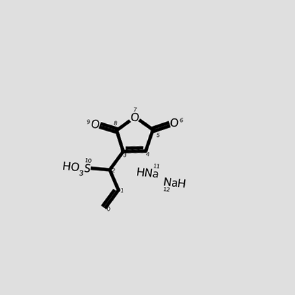 C=CC(C1=CC(=O)OC1=O)S(=O)(=O)O.[NaH].[NaH]